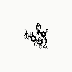 CC(=O)O[C@@H](C(=O)Nc1ccc(-c2noc(=O)[nH]2)cc1)[C@H]1OCCN(c2cc(F)cc(C(=O)N3CCOCC3)c2)C1=O